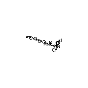 C#CCOCCOCCOCCOCCNC(=O)CCCn1c(CCl)nc2cc(Cl)ccc21